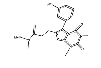 CON(C)C(=O)CCn1cc2c(c1-c1cccc(C#N)c1)c(=O)n(C)c(=O)n2C